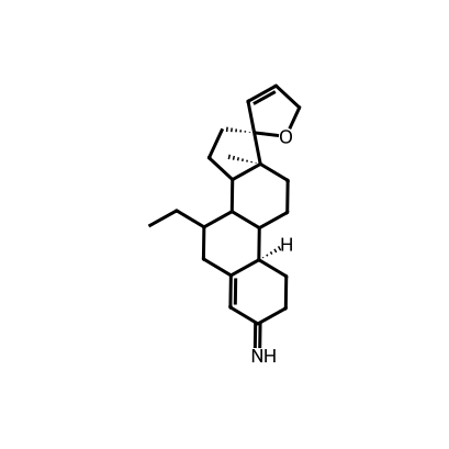 CCC1CC2=CC(=N)CC[C@@H]2C2CC[C@@]3(C)C(CC[C@@]34C=CCO4)C12